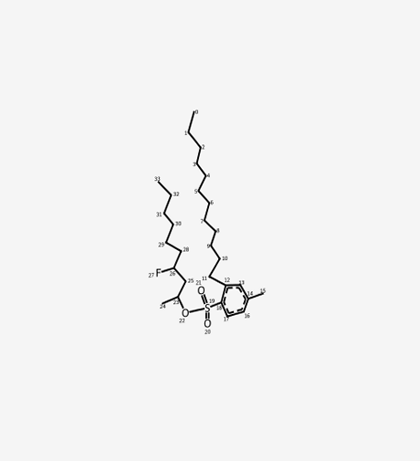 CCCCCCCCCCCCc1cc(C)ccc1S(=O)(=O)OC(C)CC(F)CCCCCC